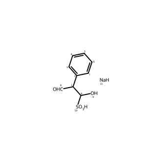 O=CC(c1ccccc1)C(O)S(=O)(=O)O.[NaH]